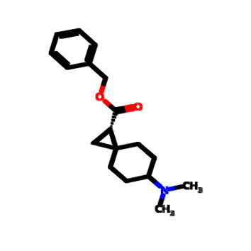 CN(C)C1CCC2(CC1)C[C@@H]2C(=O)OCc1ccccc1